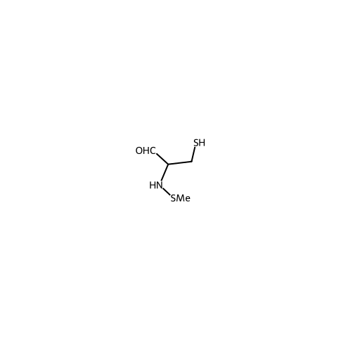 CSNC(C=O)CS